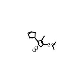 C[C](C)=[Zr+2][C]1=C(C)C(C2=CC=CC2)=CC1.[Cl-].[Cl-]